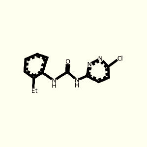 CCc1ccccc1NC(=O)Nc1ccc(Cl)nn1